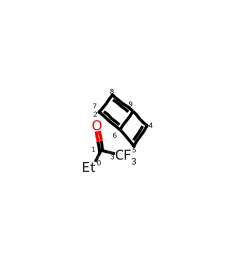 CCC(=O)C(F)(F)F.c1cc2ccc1-2